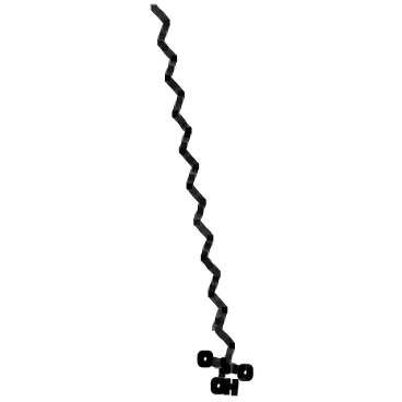 CCCCCCCCCCCCCCCCCC=CCS(=O)(=O)O